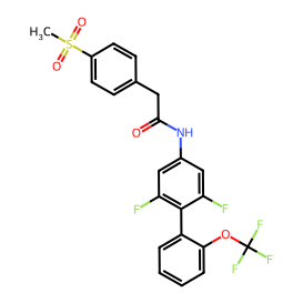 CS(=O)(=O)c1ccc(CC(=O)Nc2cc(F)c(-c3ccccc3OC(F)(F)F)c(F)c2)cc1